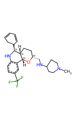 CN1CCC(NC[C@H]2CC[C@@H]3[C@H](O2)c2cc(C(F)(F)F)ccc2N[C@H]3C2C=CC=CC2)CC1